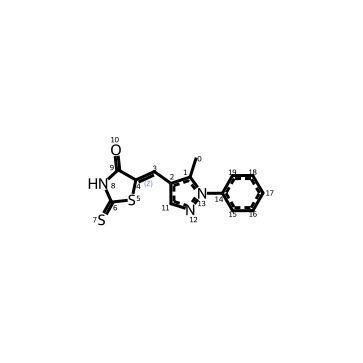 Cc1c(/C=C2\SC(=S)NC2=O)cnn1-c1ccccc1